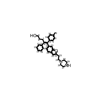 Cc1ccc(/C(=C(\CCCO)c2ccccc2)c2ccc3cc(CCN4CCNCC4)oc3c2)cc1